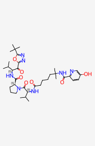 CC(C)[C@H](NC(=O)[C@@H]1CCCN1C(=O)[C@@H](NC(=O)CCCCC(C)(C)NC(=O)c1ccc(O)cn1)C(C)C)C(=O)c1nnc(C(C)(C)C)o1